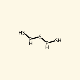 SPSPS